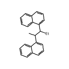 [CH2]CC(c1cccc2ccccc12)C(C)c1cccc2ccccc12